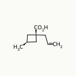 C=CC[C@]1(C(=O)O)C[C@@H](C)C1